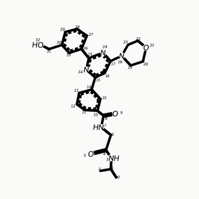 CC(C)NC(=O)CNC(=O)c1cccc(-c2cc(N3CCOCC3)nc(-c3cccc(CO)c3)n2)c1